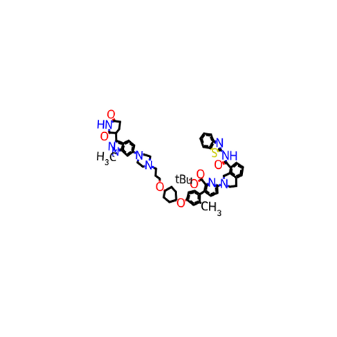 Cc1cc(OC2CCC(OCCCN3CCN(c4ccc5c(C6CCC(=O)NC6=O)nn(C)c5c4)CC3)CC2)ccc1-c1ccc(N2CCc3cccc(C(=O)Nc4nc5ccccc5s4)c3C2)nc1C(=O)OC(C)(C)C